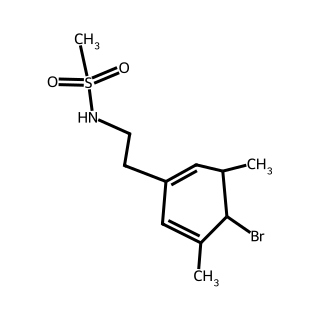 CC1=CC(CCNS(C)(=O)=O)=CC(C)C1Br